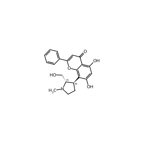 CN1CC[C@H](c2c(O)cc(O)c3c(=O)cc(-c4ccccc4)oc23)[C@H]1CO